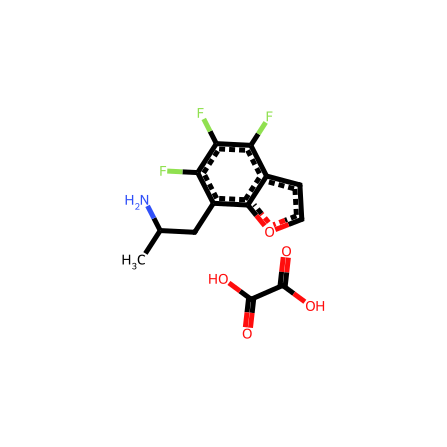 CC(N)Cc1c(F)c(F)c(F)c2ccoc12.O=C(O)C(=O)O